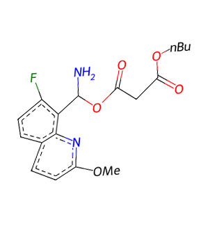 CCCCOC(=O)CC(=O)OC(N)c1c(F)ccc2ccc(OC)nc12